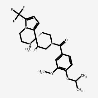 COc1cc(C(=O)N2CC[C@]3(c4ccc(C(F)(F)F)n4CCN3C)[C@H](F)C2)ccc1OC(C)C